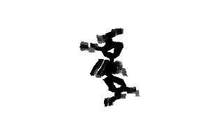 CCNc1ccc(C(c2ccc(NCC)c(N)c2)(C(F)(F)F)C(F)(F)F)cc1N